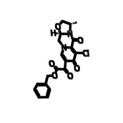 C[C@H]1CO[C@@H]2Cn3cc(C(=O)C(=O)OCc4ccccc4)c(=O)c(Cl)c3C(=O)N12